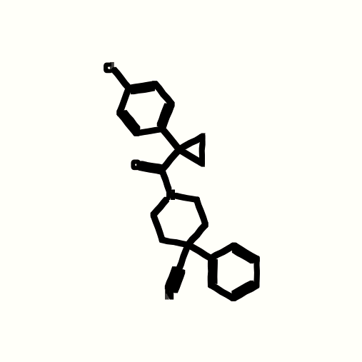 N#CC1(c2ccccc2)CCN(C(=O)C2(c3ccc(Cl)cc3)CC2)CC1